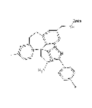 CONCc1ccc2c(c1)CCc1cc(C)ccc1C2(CC(N)I)c1nnc(-c2ccc(F)cc2)o1